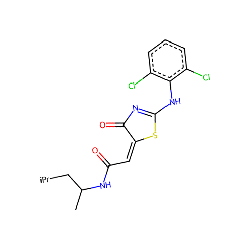 CC(C)CC(C)NC(=O)C=C1SC(Nc2c(Cl)cccc2Cl)=NC1=O